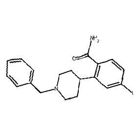 NC(=O)c1ccc(I)cc1C1CCN(Cc2ccccc2)CC1